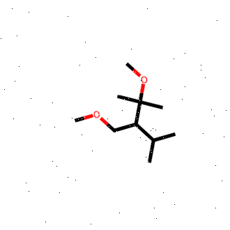 COCC(C(C)C)C(C)(C)OC